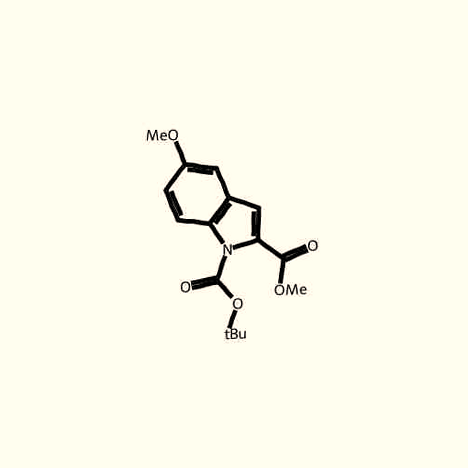 COC(=O)c1cc2cc(OC)ccc2n1C(=O)OC(C)(C)C